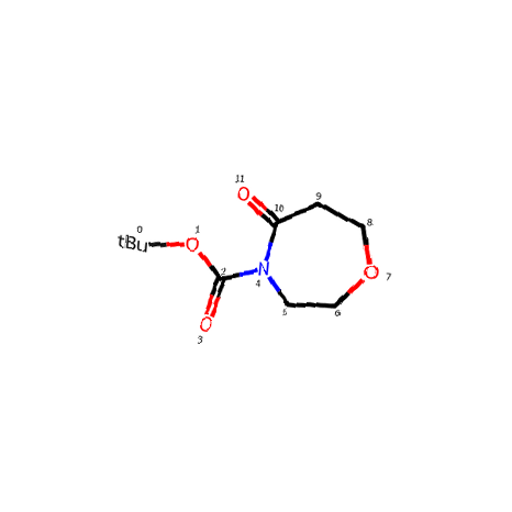 CC(C)(C)OC(=O)N1CCOCCC1=O